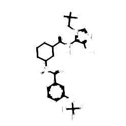 Cc1ncn(CC(F)(F)F)c1NC(=O)C1CCCC(N(C)C(=O)c2cccc(OC(F)(F)F)c2)C1